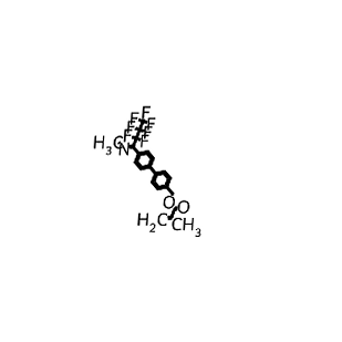 C=C(C)C(=O)OCc1ccc(-c2ccc(/C(=N/C)C(F)(F)C(F)(F)C(F)(F)F)cc2)cc1